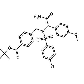 COc1ccc(C(C(N)=O)N(Cc2ccc(C(=O)OC(C)(C)C)cc2)S(=O)(=O)c2ccc(Cl)cc2)cc1